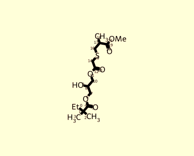 CCC(C)(C)C(=O)OCC(O)COC(=O)CSCC(C)C(=O)OC